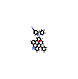 N#Cc1ccc2c(c1)c1ccccc1n2-c1cccc(-c2cccc(C#N)c2-c2c3ccccc3c(-c3ccccc3)c3ccccc23)c1